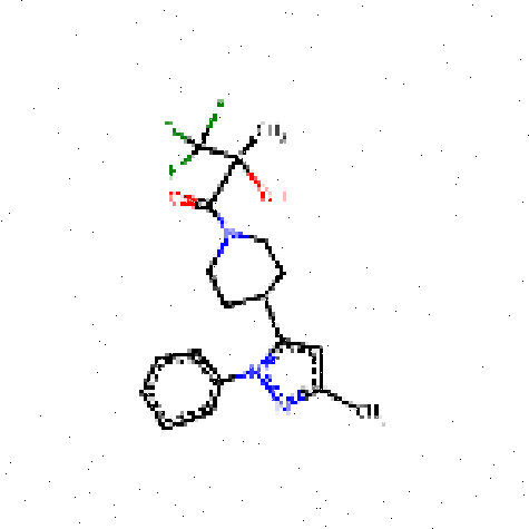 Cc1cc(C2CCN(C(=O)[C@@](C)(O)C(F)(F)F)CC2)n(-c2ccccc2)n1